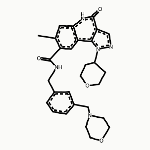 Cc1cc2[nH]c(=O)c3cnn(C4CCOCC4)c3c2cc1C(=O)NCc1cccc(CN2CCOCC2)c1